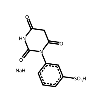 O=C1CC(=O)N(c2cccc(S(=O)(=O)O)c2)C(=O)N1.[NaH]